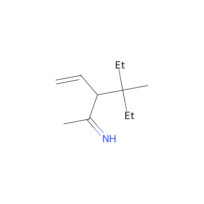 C=CC(C(C)=N)C(C)(CC)CC